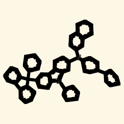 c1ccc(-c2ccc(N(c3ccc4ccccc4c3)c3ccc4c5cc(C6(c7ccccc7)c7ccccc7-c7ccccc76)ccc5n(-c5ccccc5)c4c3)cc2)cc1